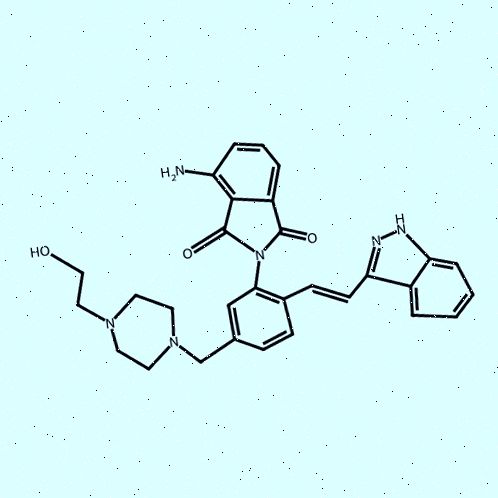 Nc1cccc2c1C(=O)N(c1cc(CN3CCN(CCO)CC3)ccc1C=Cc1n[nH]c3ccccc13)C2=O